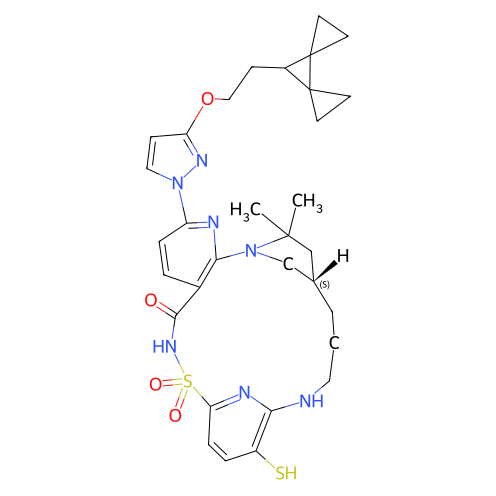 CC1(C)C[C@@H]2CCCNc3nc(ccc3S)S(=O)(=O)NC(=O)c3ccc(-n4ccc(OCCC5C6(CC6)C56CC6)n4)nc3N1C2